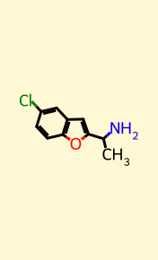 CC(N)c1cc2cc(Cl)ccc2o1